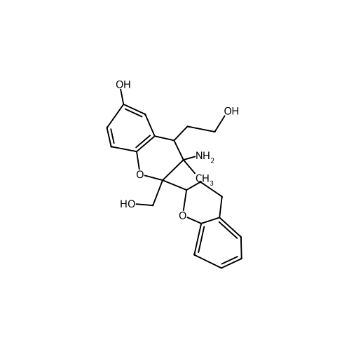 CC1(N)C(CCO)c2cc(O)ccc2OC1(CO)C1CCc2ccccc2O1